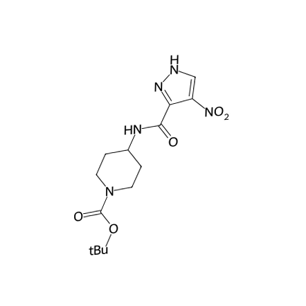 CC(C)(C)OC(=O)N1CCC(NC(=O)c2n[nH]cc2[N+](=O)[O-])CC1